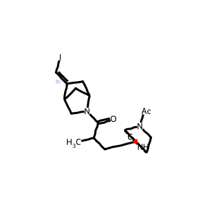 CC(=O)N1CC2CC(CC(C)C(=O)N3CC4CC3C/C4=C\I)C1CN2